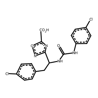 O=C(Nc1ccc(Cl)cc1)NC(Cc1ccc(Cl)cc1)c1noc(C(=O)O)n1